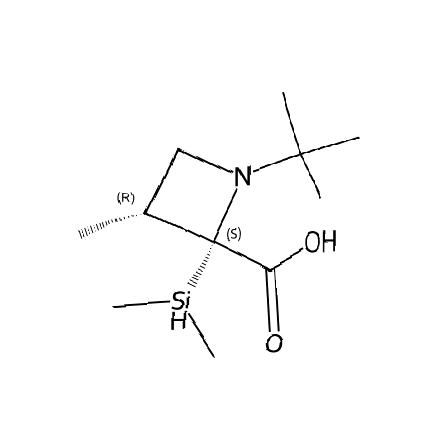 C[C@@H]1CN(C(C)(C)C)[C@]1(C(=O)O)[SiH](C)C